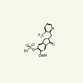 CCS(=O)(=O)Oc1cc2c(cc1OC)C(=O)C(Cc1ncccc1C(F)(F)F)C2